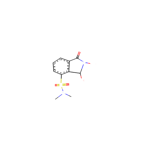 CN(C)S(=O)(=O)c1cccc2c1C(O)N(O)C2=O